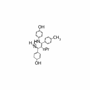 CCCC(/C(=N\C)C1=CCC(O)C=C1)=C(/Nc1ccc(O)cc1)c1ccc(C)cc1